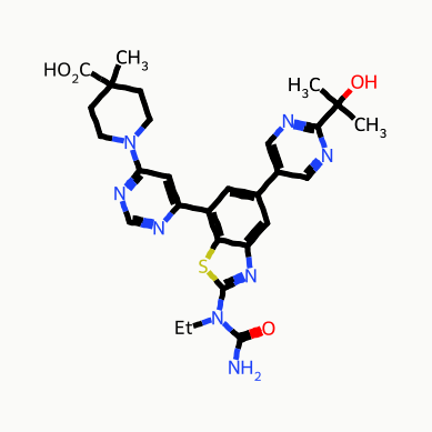 CCN(C(N)=O)c1nc2cc(-c3cnc(C(C)(C)O)nc3)cc(-c3cc(N4CCC(C)(C(=O)O)CC4)ncn3)c2s1